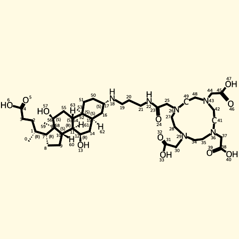 C[C@H](CCC(=O)O)[C@H]1CC[C@H]2[C@@H]3[C@H](O)C[C@@H]4C[C@@H](NCCCNC(=O)CN5CCN(CC(=O)O)CCN(CC(=O)O)CCN(CC(=O)O)CC5)CC[C@]4(C)[C@H]3C[C@H](O)[C@]12C